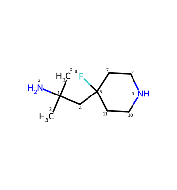 CC(C)(N)CC1(F)CCNCC1